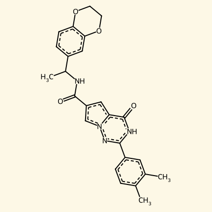 Cc1ccc(-c2nn3cc(C(=O)NC(C)c4ccc5c(c4)OCCO5)cc3c(=O)[nH]2)cc1C